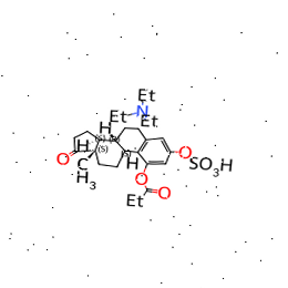 CCC(=O)Oc1cc(OS(=O)(=O)O)cc2c1[C@H]1CC[C@]3(C)C(=O)CC[C@H]3[C@@H]1CC2.CCN(CC)CC